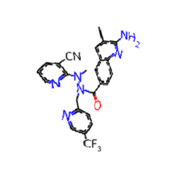 Cc1cc2cc(C(=O)N(Cc3ccc(C(F)(F)F)cn3)N(C)c3ncccc3C#N)ccc2nc1N